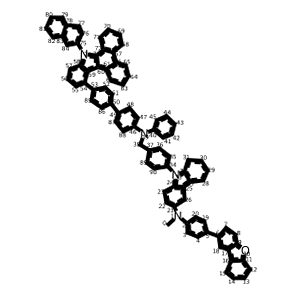 CN(c1ccc(-c2ccc3oc4ccccc4c3c2)cc1)c1ccc2c(c1)c1ccccc1n2-c1ccc(CN(c2ccccc2)c2ccc(-c3ccc(-c4cccc5c4c4c6ccccc6c6ccccc6c4n5-c4ccc5ccccc5c4)cc3)cc2)cc1